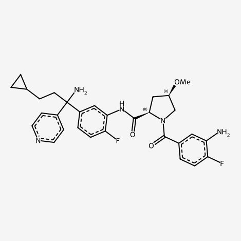 CO[C@@H]1C[C@H](C(=O)Nc2cc(C(N)(CCC3CC3)c3ccncc3)ccc2F)N(C(=O)c2ccc(F)c(N)c2)C1